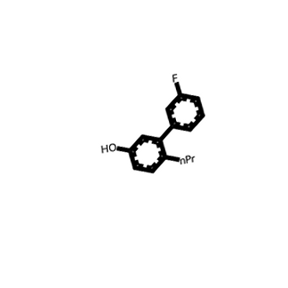 CCCc1ccc(O)cc1-c1cccc(F)c1